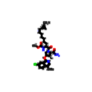 COc1cnc(O[C@H]2CN(C(=O)[C@H](CCCCC/C=C\[C@@H]3C[C@@H]3C(=O)O)NC(=O)OC(C)(C)C)[C@H](C(N)=O)[C@@H]2C)c2cc(Cl)ccc12